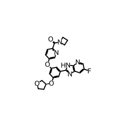 O=C(c1ccc(Oc2cc(O[C@H]3CCOC3)cc(-c3nc4cc(F)cnc4[nH]3)c2)cn1)N1CCC1